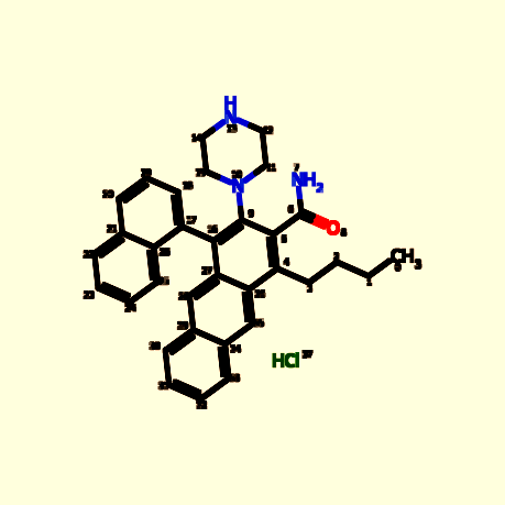 CCCCc1c(C(N)=O)c(N2CCNCC2)c(-c2cccc3ccccc23)c2cc3ccccc3cc12.Cl